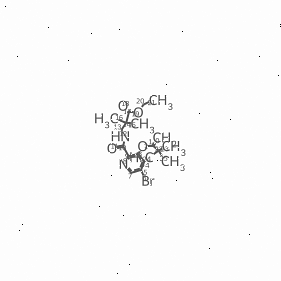 C=C(Oc1cc(Br)cnc1C(=O)NCC(C)(C)C(=O)OCC)C(C)(C)C